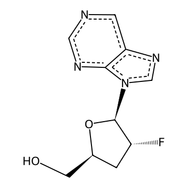 OC[C@@H]1C[C@@H](F)[C@H](n2cnc3cncnc32)O1